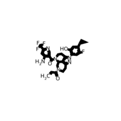 C=CC(=O)N1CCc2nn(-c3cc(F)c(C4CC4)cc3O)c3c2C(C1)N(C(=O)c1cnc(C(F)(F)F)cc1N)CC3